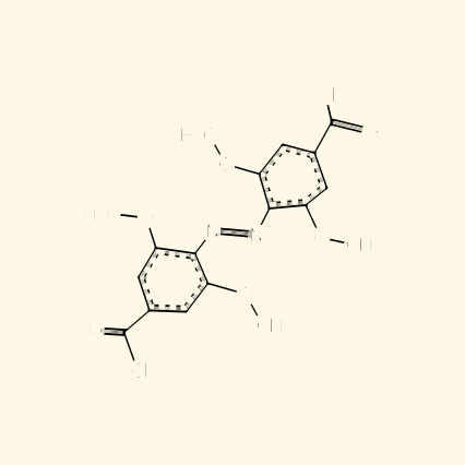 COc1cc(C(=O)Cl)cc(OC)c1/N=N/c1c(OC)cc(C(=O)Cl)cc1OC